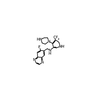 Fc1cc2nccnc2cc1CNC1=CNCC(C(F)(F)F)=C1N1CCNCC1